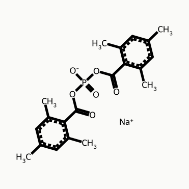 Cc1cc(C)c(C(=O)OP(=O)([O-])OC(=O)c2c(C)cc(C)cc2C)c(C)c1.[Na+]